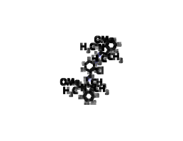 COC(C)N1/C(=C/C=C2\CCCC(/C=C/C3=[N+](C(C)OC)c4ccccc4C3(C)C)=C2Cl)C(C)(C)c2ccccc21